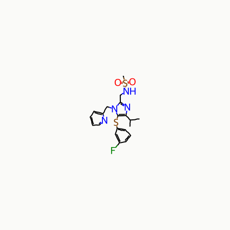 CC(C)c1nc(CNS(C)(=O)=O)n(Cc2ccccn2)c1Sc1cccc(F)c1